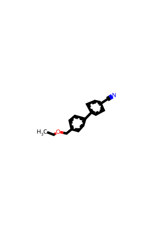 CCOCc1ccc(-c2ccc(C#N)cc2)cc1